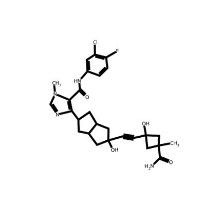 Cn1cnc(C2CC3CC(O)(C#CC4(O)CC(C)(C(N)=O)C4)CC3C2)c1C(=O)Nc1ccc(F)c(Cl)c1